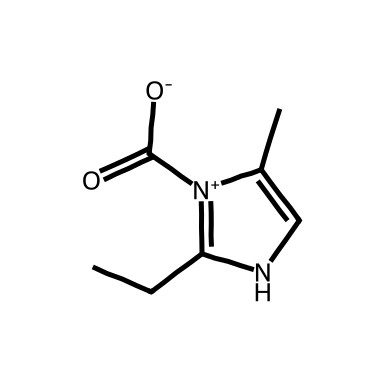 CCc1[nH]cc(C)[n+]1C(=O)[O-]